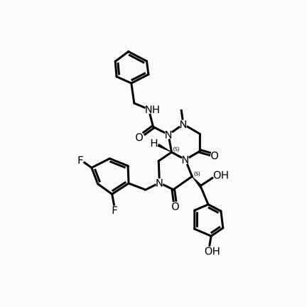 CN1CC(=O)N2[C@@H](C(O)c3ccc(O)cc3)C(=O)N(Cc3ccc(F)cc3F)C[C@@H]2N1C(=O)NCc1ccccc1